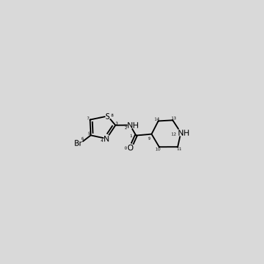 O=C(Nc1nc(Br)cs1)C1CCNCC1